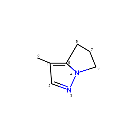 Cc1cnn2c1CCC2